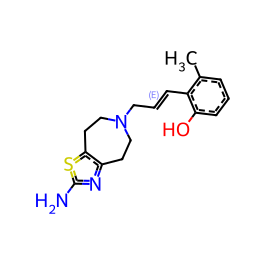 Cc1cccc(O)c1/C=C/CN1CCc2nc(N)sc2CC1